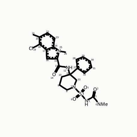 CNC(=O)NS(=O)(=O)N1CCCC(NC(=O)c2cc3c(Cl)c(C)ccc3n2C)(c2ccccc2)C1